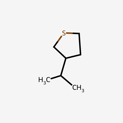 CC(C)C1CCSC1